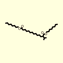 CCCCCCCCOC(=O)CCCCCCCCCCCC(C(=O)OCCCCCCCC)C(C)C